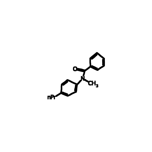 CCCc1ccc(N(C)C(=O)c2ccccc2)cc1